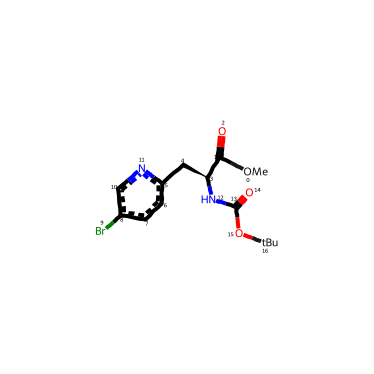 COC(=O)[C@H](Cc1ccc(Br)cn1)NC(=O)OC(C)(C)C